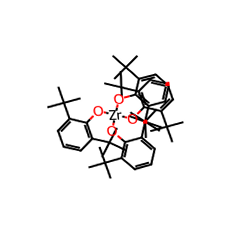 CC(C)(C)c1cccc(C(C)(C)C)c1[O][Zr]([O]c1c(C(C)(C)C)cccc1C(C)(C)C)([O]c1c(C(C)(C)C)cccc1C(C)(C)C)[O]c1c(C(C)(C)C)cccc1C(C)(C)C